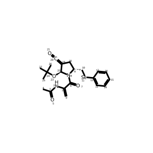 C=C(NC(C)=O)C(=O)N1[C@@H](C[Se]c2ccccc2)CC(=C=O)[C@@H]1OC(C)(C)C